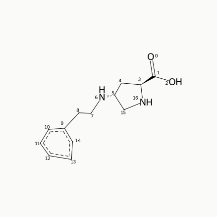 O=C(O)[C@@H]1C[C@@H](NCCc2ccccc2)CN1